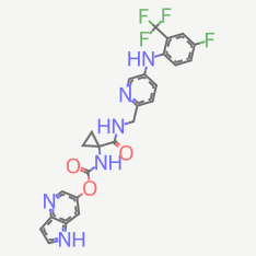 O=C(NC1(C(=O)NCc2ccc(Nc3ccc(F)cc3C(F)(F)F)cn2)CC1)Oc1cnc2cc[nH]c2c1